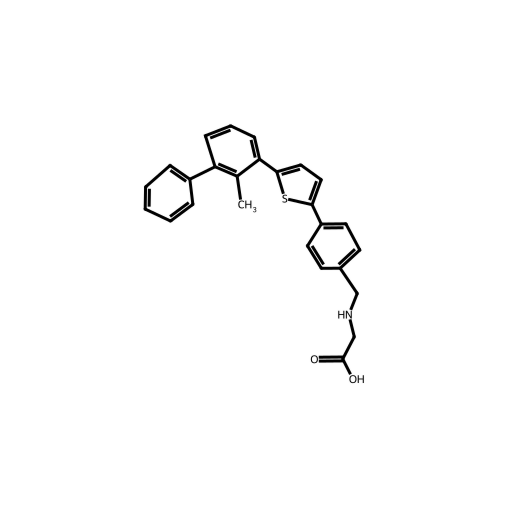 Cc1c(-c2ccccc2)cccc1-c1ccc(-c2ccc(CNCC(=O)O)cc2)s1